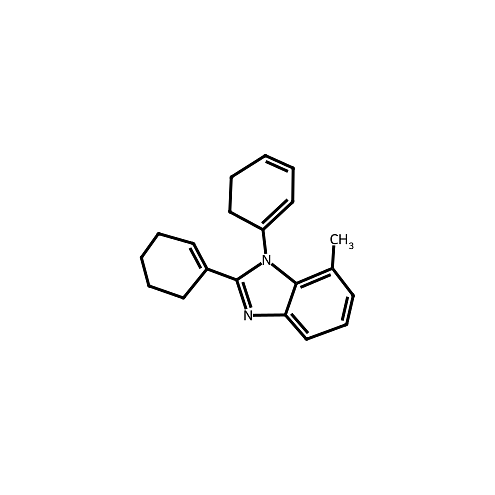 Cc1cccc2nc(C3=CCCCC3)n(C3=CC=CCC3)c12